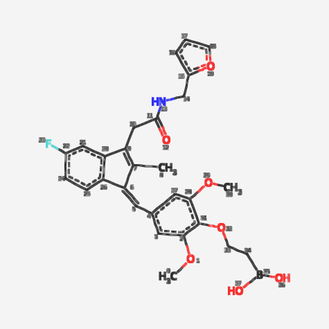 COc1cc(C=C2C(C)=C(CC(=O)NCc3ccco3)c3cc(F)ccc32)cc(OC)c1OCCB(O)O